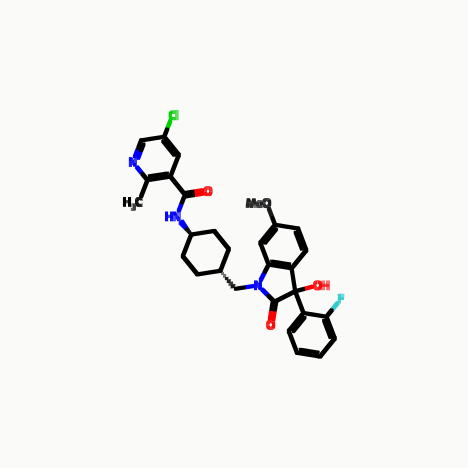 COc1ccc2c(c1)N(C[C@H]1CC[C@H](NC(=O)c3cc(Cl)cnc3C)CC1)C(=O)C2(O)c1ccccc1F